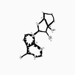 OC1C(n2ccc3c(Cl)ncnc32)OC2CCCC21O